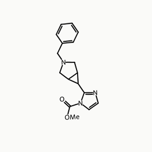 COC(=O)n1ccnc1C1C2CN(Cc3ccccc3)CC21